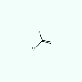 BC(=C)F